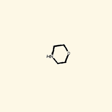 [C]1[C]OCCN1